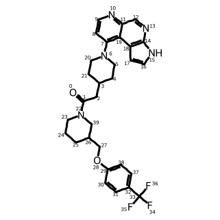 O=C(CC1CCN(c2ccnc3cnc4[nH]ccc4c23)CC1)N1CCCC(COc2ccc(C(F)(F)F)cc2)C1